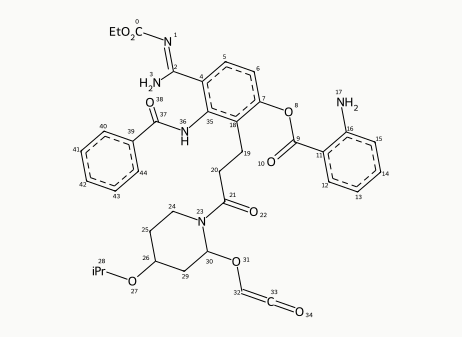 CCOC(=O)N=C(N)c1ccc(OC(=O)c2ccccc2N)c(CCC(=O)N2CCC(OC(C)C)CC2OC=C=O)c1NC(=O)c1ccccc1